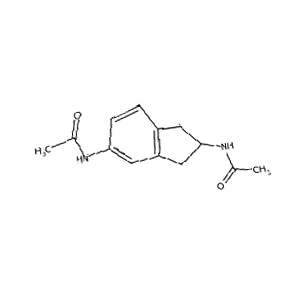 CC(=O)Nc1ccc2c(c1)CC(NC(C)=O)[CH]2